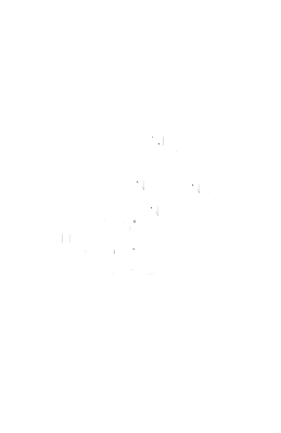 CO[C@@]1(C(=O)CNC(=O)CN)[C@@H](O)O[C@H](CO)[C@@H](O)[C@@H]1OC(=O)CNC(=O)CN